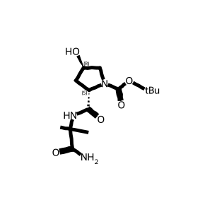 CC(C)(C)OC(=O)N1C[C@H](O)C[C@H]1C(=O)NC(C)(C)C(N)=O